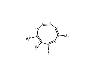 CCc1cc(C(F)(F)F)cccoc(C)c1Cl